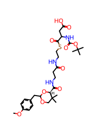 COc1ccc(CC2OCC(C)(C)[C@H](C(=O)NCCC(=O)NCCSC(=O)C(CC(=O)O)NC(=O)OC(C)(C)C)O2)cc1